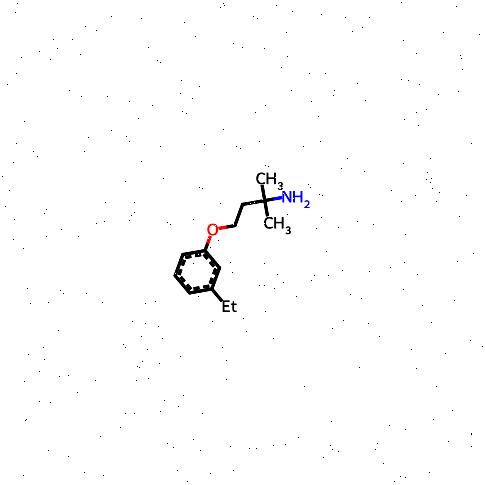 CCc1cccc(OCCC(C)(C)N)c1